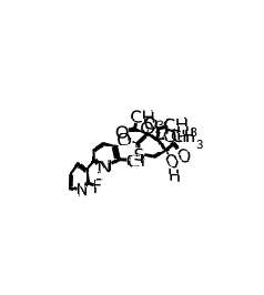 CC(=O)[C@]1(O)[C@@](O)(C(C)=O)CS[C@H](Oc2ccc(-c3cccnc3F)nc2Cl)[C@@]1(O)C(C)=O